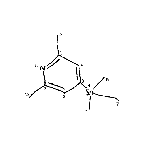 Cc1c[c]([Sn]([CH3])([CH3])[CH3])cc(C)n1